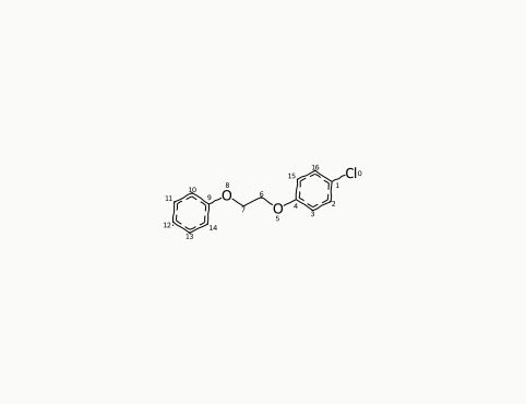 Clc1ccc(OCCOc2cc[c]cc2)cc1